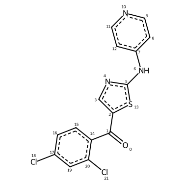 O=C(c1cnc(Nc2ccncc2)s1)c1ccc(Cl)cc1Cl